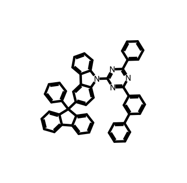 c1ccc(-c2cccc(-c3nc(-c4ccccc4)nc(-n4c5ccccc5c5cc(C6(c7ccccc7)c7ccccc7-c7ccccc76)ccc54)n3)c2)cc1